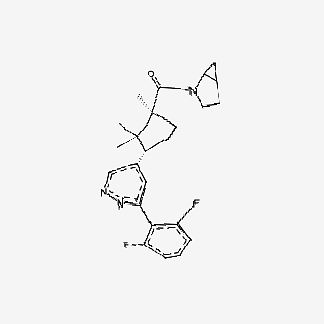 CC1(C)[C@@H](c2cnnc(-c3c(F)cccc3F)c2)CC[C@]1(C)C(=O)N1CCC2CC21